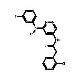 CC(=O)N(c1cccc(F)c1)c1cc(NC(=O)Cc2ccccc2Cl)cnn1